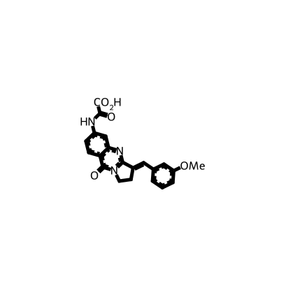 COc1cccc(C=C2CCn3c2nc2cc(NC(=O)C(=O)O)ccc2c3=O)c1